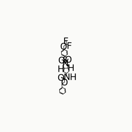 O=C(NC1C[C@@H]2CN(S(=O)(=O)c3ccc(OC(F)F)cc3)C[C@@H]2C1)OCc1ccccc1